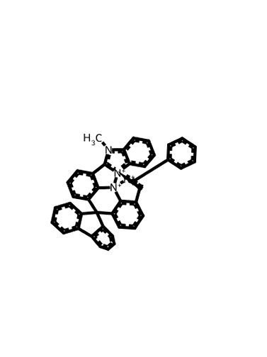 Cn1c2[n+](c3ccccc31)[N+]13c4c(cccc4C4(c5ccccc5-c5ccccc54)c4cccc-2c41)-c1cc(-c2ccccc2)cc[n+]13